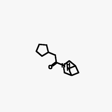 O=C(CC1CCCC1)N1CC2CC(C1)N2